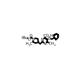 Cc1nc(CC2CCN(C(=O)OC(C)(C)C)C(C)C2)nc(C(=O)O)c1OCc1ccccc1